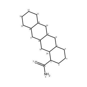 NC(=O)C1CCCC2CC3CC4CCCCC4CC3CC21